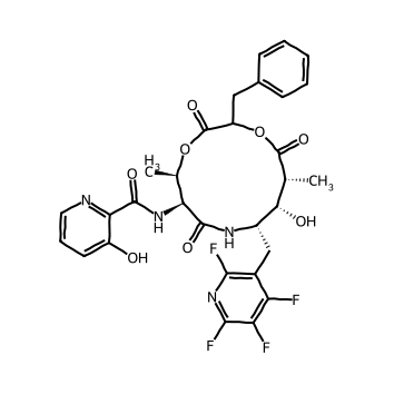 C[C@H]1OC(=O)C(Cc2ccccc2)OC(=O)[C@H](C)[C@H](O)[C@H](Cc2c(F)nc(F)c(F)c2F)NC(=O)[C@H]1NC(=O)c1ncccc1O